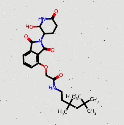 CC(C)(C)CC(C)(C)CCNC(=O)COc1cccc2c1C(=O)N(C1CCC(=O)NC1O)C2=O